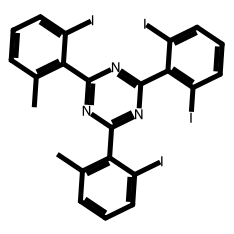 Cc1cccc(I)c1-c1nc(-c2c(C)cccc2I)nc(-c2c(I)cccc2I)n1